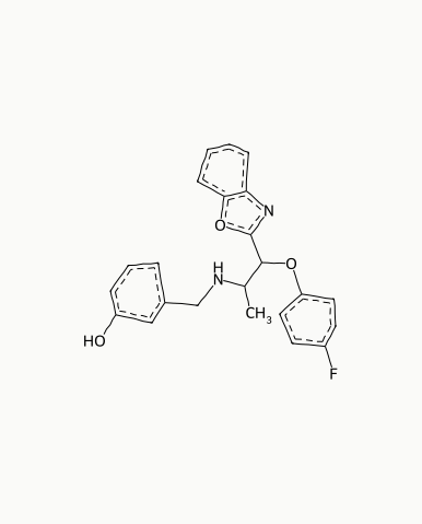 CC(NCc1cccc(O)c1)C(Oc1ccc(F)cc1)c1nc2ccccc2o1